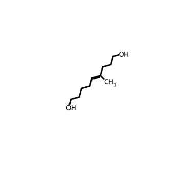 C/C(=C\CCCCO)CCCO